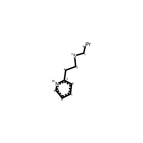 CC(C)CSCCc1ccccn1